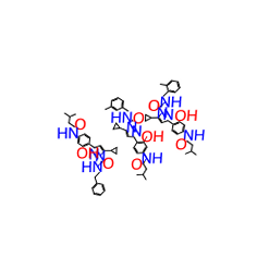 CC(C)CC(=O)Nc1ccc(-c2cc(C3CC3)n(C(=O)NCCc3ccccc3)n2)c(O)c1.Cc1cccc(CNC(=O)n2nc(-c3ccc(NC(=O)CC(C)C)cc3O)cc2C2CC2)c1.Cc1ccccc1CNC(=O)n1nc(-c2ccc(NC(=O)CC(C)C)cc2O)cc1C1CC1